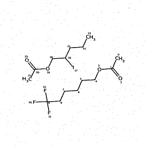 CC(=O)OCCCCCC(F)(F)F.CCCC(I)COC(C)=O